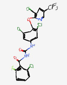 O=C(NC(=O)c1c(F)cccc1Cl)Nc1cc(Cl)c(Oc2ncc(C(F)(F)F)cc2Cl)c(Cl)c1